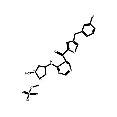 NS(=O)(=O)OC[C@H]1CC(Nc2ncncc2C(=O)c2cc(Cc3cccc(Br)c3)cs2)C[C@@H]1O